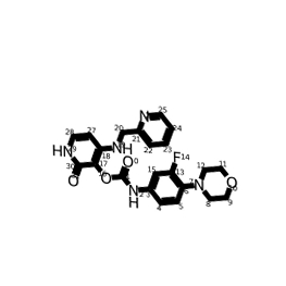 O=C(Nc1ccc(N2CCOCC2)c(F)c1)Oc1c(NCc2ccccn2)cc[nH]c1=O